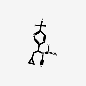 CS([O-])=[N+](C#N)C(CC1CC1)c1ccc(C(F)(F)F)nc1